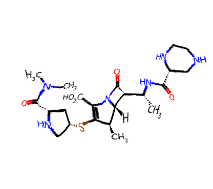 C[C@@H](NC(=O)[C@H]1CNCCN1)[C@H]1C(=O)N2C(C(=O)O)=C(S[C@@H]3CN[C@H](C(=O)N(C)C)C3)[C@H](C)[C@@H]12